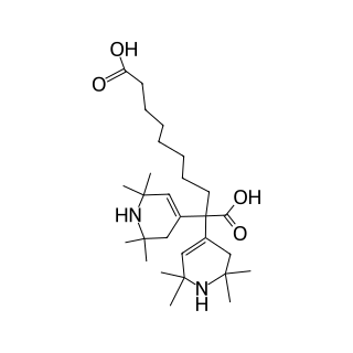 CC1(C)C=C(C(CCCCCCCC(=O)O)(C(=O)O)C2=CC(C)(C)NC(C)(C)C2)CC(C)(C)N1